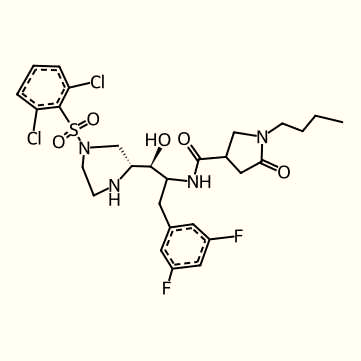 CCCCN1CC(C(=O)NC(Cc2cc(F)cc(F)c2)[C@H](O)[C@H]2CN(S(=O)(=O)c3c(Cl)cccc3Cl)CCN2)CC1=O